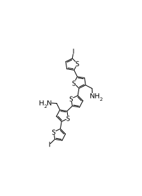 NCc1cc(-c2ccc(I)s2)sc1-c1ccc(-c2sc(-c3ccc(I)s3)cc2CN)s1